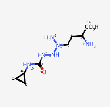 NC(CCN(N)NNC(=O)NC1CC1)C(=O)O